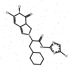 O=C(Nc1ncc(Cl)s1)C(CC1CCCCC1)N1C=C2C=C(Cl)[C@@H](Cl)C(=O)C2C1